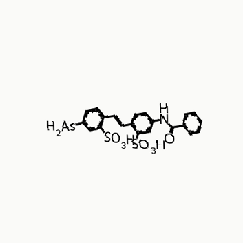 O=C(Nc1ccc(C=Cc2ccc([AsH2])cc2S(=O)(=O)O)c(S(=O)(=O)O)c1)c1ccccc1